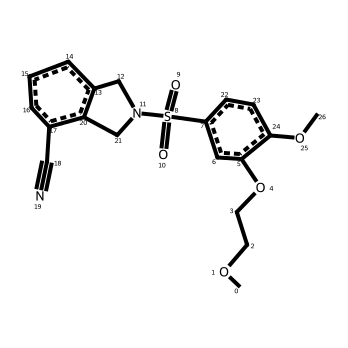 COCCOc1cc(S(=O)(=O)N2Cc3cccc(C#N)c3C2)ccc1OC